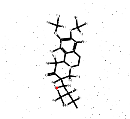 [2H]c1c2c(c([2H])c(OC([2H])([2H])[2H])c1OC([2H])([2H])[2H])C1N(CC2)C([2H])([2H])C([2H])(C([2H])([2H])C([2H])(C([2H])([2H])[2H])C([2H])([2H])C)C(=O)C1([2H])[2H]